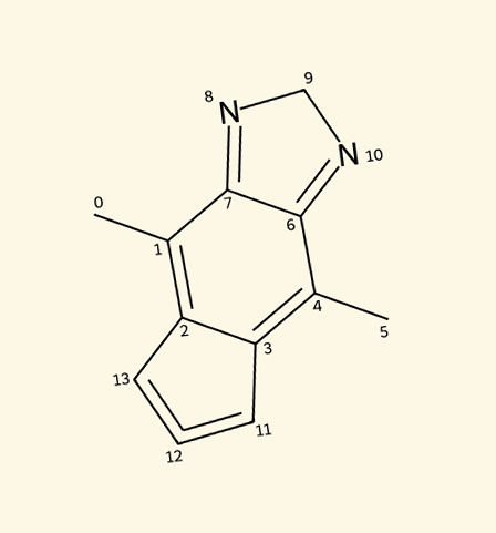 Cc1c2c(c(C)c3c1=NCN=3)C=C=C2